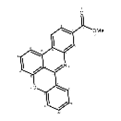 COC(=O)c1ccc2c(c1)nc1c3c(cccc32)Oc2ccccc2-1